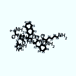 C[C@H](N)C(=O)N[C@@H](Cc1cnc[nH]1)C(=O)N[C@@](C)(C(=O)N[C@H](Cc1ccccc1)C(=O)NC(=O)[C@@H](N)CCCCN)c1ccc2ccccc2c1